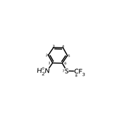 Nc1ccccc1SC(F)(F)F